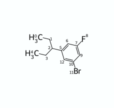 CCC(CC)c1cc(F)cc(Br)c1